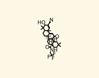 CC1(C)CC[C@]2(C(=O)NCC(F)(F)F)CC[C@]3(C)[C@H](C(=O)C=C4[C@@]5(C)C=C(C#N)C(O)C(C)(C)C5CC[C@]43C)[C@H]2C1